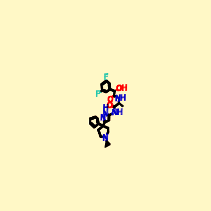 C[C@H](NC(=O)[C@@H](O)c1cc(F)cc(F)c1)C(=O)Nc1cc(C2(c3ccccc3)CCN(C3CC3)CC2)n[nH]1